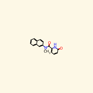 CN(C(=O)c1cccc(=O)[nH]1)c1ccc2ccccc2c1